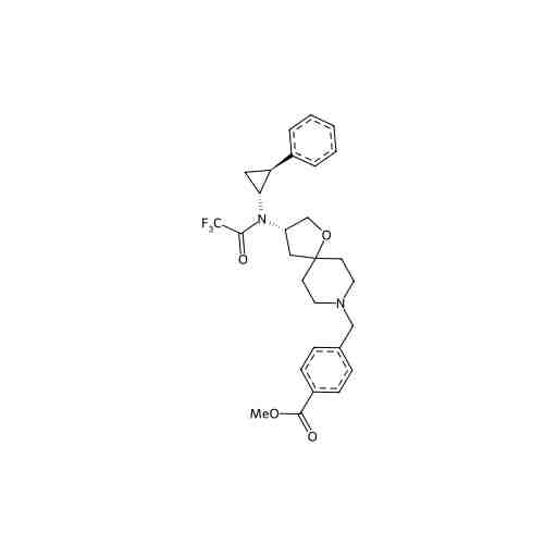 COC(=O)c1ccc(CN2CCC3(CC2)C[C@H](N(C(=O)C(F)(F)F)[C@@H]2C[C@H]2c2ccccc2)CO3)cc1